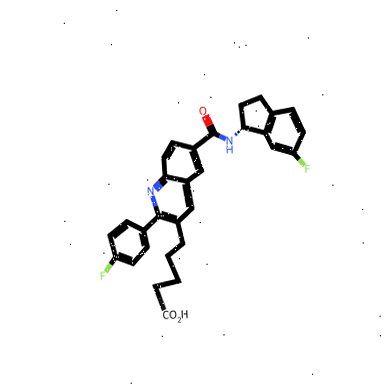 O=C(O)CCCCc1cc2cc(C(=O)N[C@@H]3CCc4ccc(F)cc43)ccc2nc1-c1ccc(F)cc1